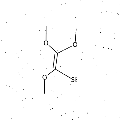 COC([Si])=C(OC)OC